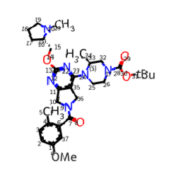 COc1ccc(C)c(C(=O)N2Cc3nc(OC[C@@H]4CCCN4C)nc(N4CCN(C(=O)OC(C)(C)C)C[C@@H]4C)c3C2)c1